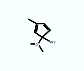 CCC[C]1([Zr]([CH3])[CH3])C=CC(C)=C1